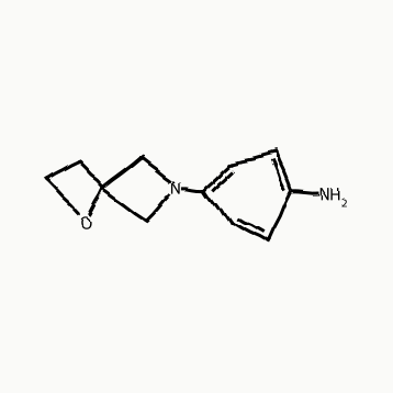 Nc1ccc(N2CC3(CCO3)C2)cc1